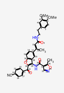 COc1ccc(CCNC(=O)C=C(C)c2ccc3oc(C(=O)c4ccc(C#N)cc4)c(NC(=O)c4cnoc4C)c3c2)cc1OC